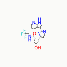 O=C(NCC(F)(F)F)[C@H]1C[C@H](O)CC1c1ccnc(-c2c[nH]c3ncccc23)n1